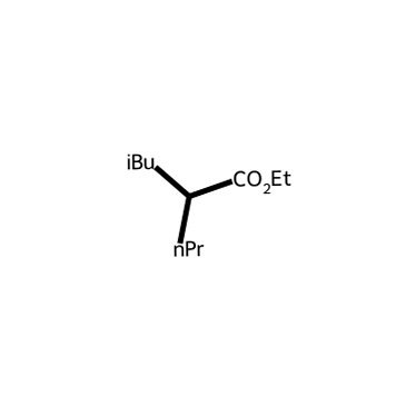 CCCC(C(=O)OCC)C(C)CC